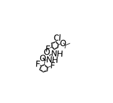 CC(C)Oc1cc(NC(=O)NC(=O)c2c(F)cccc2F)c(F)cc1Cl